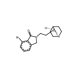 O=C1c2c(Br)cccc2CN1CC[C@@H]1CN2CCC1CC2